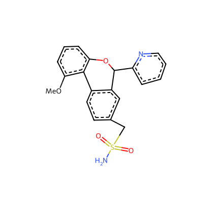 COc1cccc2c1-c1ccc(CS(N)(=O)=O)cc1C(c1ccccn1)O2